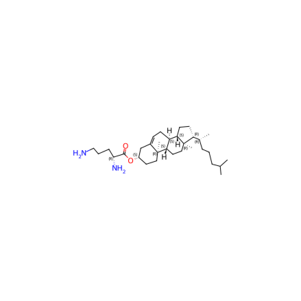 CC(C)CCC[C@@H](C)[C@H]1CC[C@H]2[C@@H]3CC=C4C[C@@H](OC(=O)[C@H](N)CCCN)CC[C@]4(C)[C@H]3CC[C@]12C